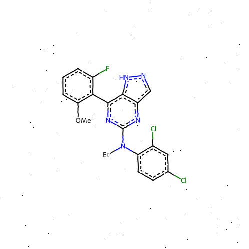 CCN(c1nc(-c2c(F)cccc2OC)c2[nH]ncc2n1)c1ccc(Cl)cc1Cl